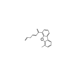 C=CC/C=C/C(=C)c1cccc2c1oc1c(C)cccc12